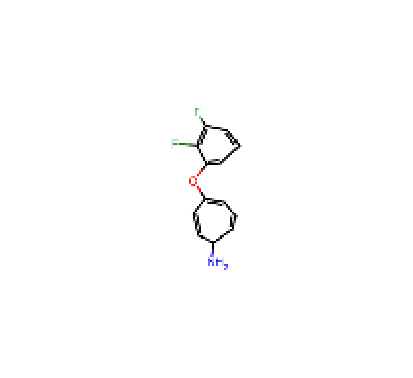 NC1C=CC=C(Oc2cccc(F)c2F)C=C1